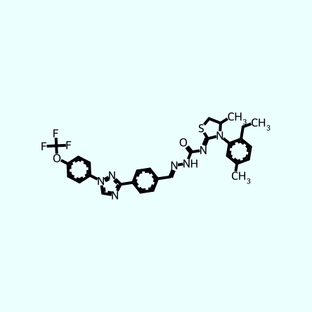 CCc1ccc(C)cc1N1/C(=N/C(=O)N/N=C/c2ccc(-c3ncn(-c4ccc(OC(F)(F)F)cc4)n3)cc2)SCC1C